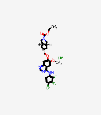 CCOC(=O)N1C[C@H]2C[C@@H](COc3cc4ncnc(Nc5ccc(Br)c(Cl)c5F)c4cc3OC)C[C@H]2C1.Cl